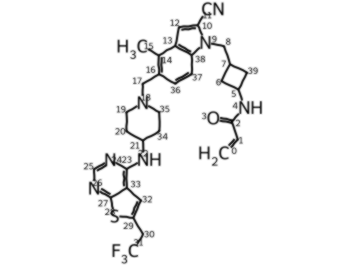 C=CC(=O)NC1CC(Cn2c(C#N)cc3c(C)c(CN4CCC(Nc5ncnc6sc(CC(F)(F)F)cc56)CC4)ccc32)C1